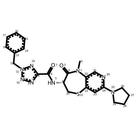 CN1C(=O)[C@@H](NC(=O)c2nnn(Cc3ccccc3)n2)CSc2cc(N3CCCC3)ncc21